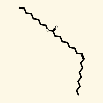 C=CCCCCCCOC(=O)CCCCCCC/C=C\CCCCCCCC